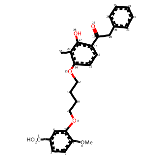 COc1ccc(C(=O)O)cc1OCCCCOc1ccc(C(=O)Cc2ccccc2)c(O)c1C